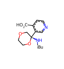 CCC(C)N[C@]1(c2cnccc2C(=O)O)COCCO1